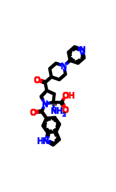 N[C@@]1(C(=O)O)CC(C(=O)C2CCN(c3ccncc3)CC2)CN1C(=O)c1ccc2cc[nH]c2c1